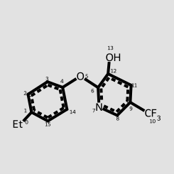 CCc1ccc(Oc2ncc(C(F)(F)F)cc2O)cc1